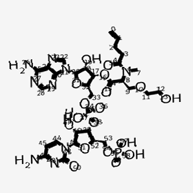 C=CCCC(=O)N(C)[C@@H](COCCO)C(=O)O[C@H]1[C@@H](O)[C@H](n2cnc3c(N)ncnc32)O[C@@H]1COP(=O)(O)O[C@H]1[C@@H](O)[C@H](n2ccc(N)nc2=O)O[C@@H]1COP(=O)(O)O